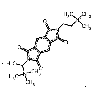 CC(n1c(=O)c2cc3c(=O)n(CC[N+](C)(C)C)c(=O)c3cc2c1=O)[N+](C)(C)C